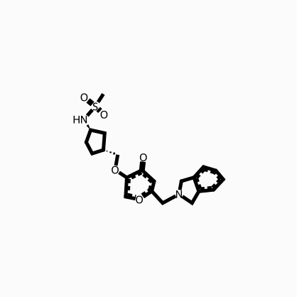 CS(=O)(=O)N[C@H]1CC[C@@H](COc2coc(CN3Cc4ccccc4C3)cc2=O)C1